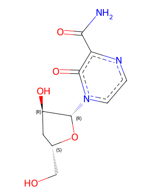 NC(=O)c1nccn([C@@H]2O[C@H](CO)C[C@H]2O)c1=O